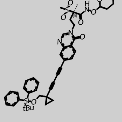 CC(C)(C)[Si](OCC1(C#CC#Cc2ccc3c(=O)n(CC[C@](C)(C(=O)NOC4CCCCO4)S(C)(=O)=O)cnc3c2)CC1)(c1ccccc1)c1ccccc1